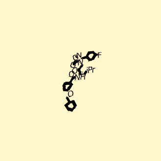 CC(C)C[C@H](NC(=O)c1cccc(OCc2ccccc2)c1)C(=O)Cn1c(-c2ccc(F)cc2)noc1=O